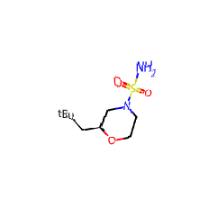 CC(C)(C)CC1CN(S(N)(=O)=O)CCO1